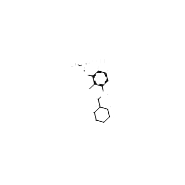 CCN(Oc1cccc(OCC2CCCCC2)c1C)C(=O)O